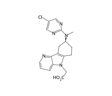 CN(c1ncc(Cl)cn1)[C@H]1CCc2c(c3ncccc3n2CC(=O)O)C1